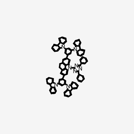 c1ccc(-c2nc(-c3ccccc3)nc(-n3c4cc(-c5cc(-n6c7ccccc7c7ccccc76)cc(-n6c7ccccc7c7ccccc76)c5)cc5c4c4c(cc(-c6cc(-n7c8ccccc8c8ccccc87)cc(-n7c8ccccc8c8ccccc87)c6)cc43)CC5)n2)cc1